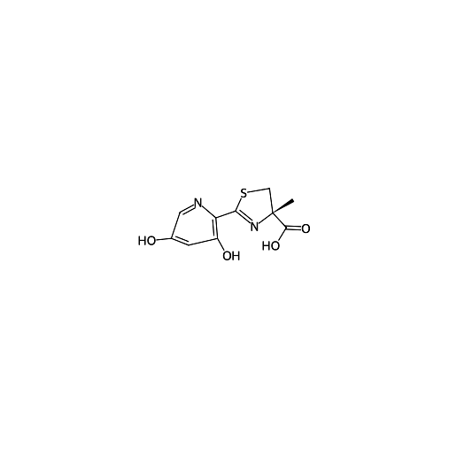 C[C@]1(C(=O)O)CSC(c2ncc(O)cc2O)=N1